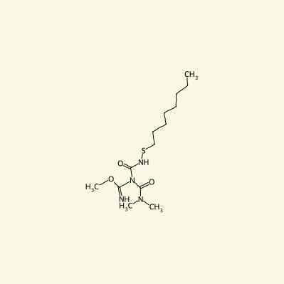 CCCCCCCCSNC(=O)N(C(=N)OC)C(=O)N(C)C